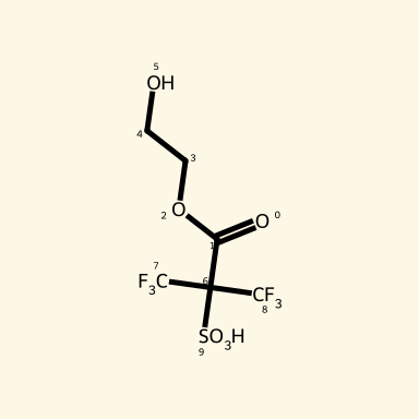 O=C(OCCO)C(C(F)(F)F)(C(F)(F)F)S(=O)(=O)O